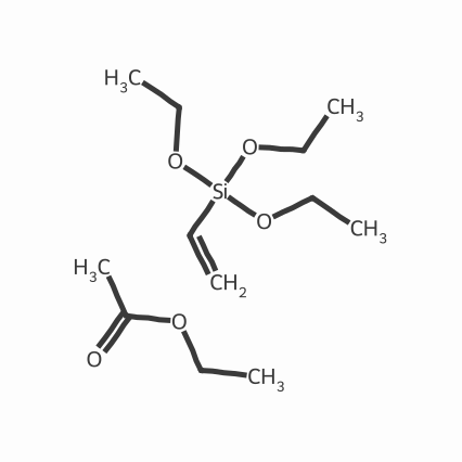 C=C[Si](OCC)(OCC)OCC.CCOC(C)=O